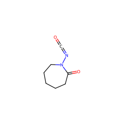 O=C=NN1CCCCCC1=O